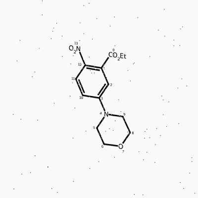 CCOC(=O)c1cc(N2CCOCC2)ccc1[N+](=O)[O-]